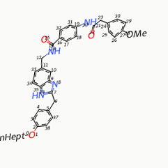 CCCCCCCOc1ccc(Cc2nc3cc(CNC(=O)c4ccc(NC(=O)Cc5ccc(OC)cc5)cc4)ccc3[nH]2)cc1